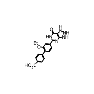 CCOc1cc(-c2nc3c(c(=O)[nH]2)NNN3)ccc1-c1ccc(C(=O)O)cc1